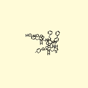 CC1C=CC(OCC(=O)N[C@H](CC2CC=CS2)C(=O)N[C@@H](Cc2ccc(-c3ccccc3)cc2)C(=O)N[C@H](CCc2ccccc2)C(=O)NCC(=O)N[C@@H](Cc2ccc(O)cc2)C(=O)O)=CC1